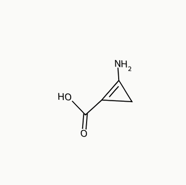 NC1=C(C(=O)O)C1